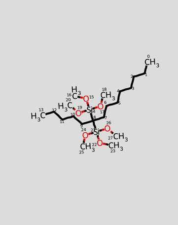 CCCCCCCCC(CCCCC)([Si](OC)(OC)OC)[Si](OC)(OC)OC